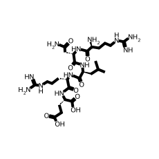 CC(C)C[C@H](NC(=O)[C@H](CC(N)=O)NC(=O)[C@@H](N)CCCNC(=N)N)C(=O)N[C@@H](CCCNC(=N)N)C(=O)N[C@@H](CCC(=O)O)C(=O)O